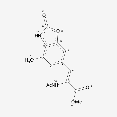 COC(=O)/C(=C/c1cc(C)c2[nH]c(=O)oc2c1)NC(C)=O